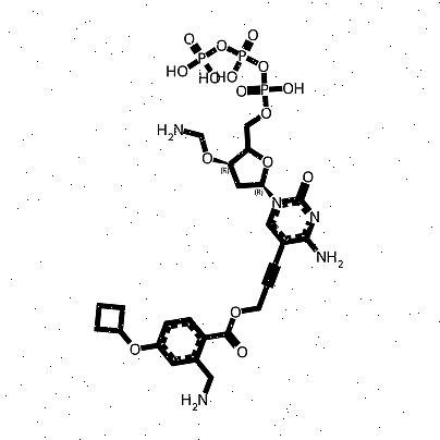 NCO[C@@H]1C[C@H](n2cc(C#CCOC(=O)c3ccc(OC4CCC4)cc3CN)c(N)nc2=O)OC1COP(=O)(O)OP(=O)(O)OP(=O)(O)O